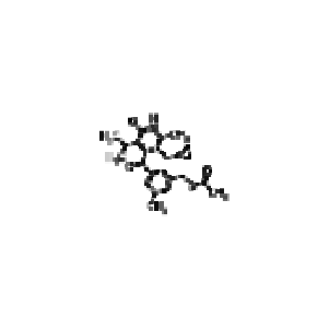 CC(=O)OCc1cc(C)cc(C(=O)c2c(CC3CC3)c(C)[nH]c(=O)c2C(C)C)c1